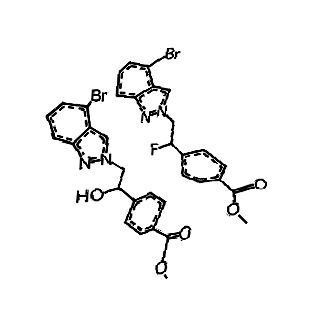 COC(=O)c1ccc(C(F)Cn2cc3c(Br)cccc3n2)cc1.COC(=O)c1ccc(C(O)Cn2cc3c(Br)cccc3n2)cc1